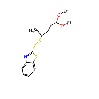 CCOC(CCC([SiH3])SSc1nc2ccccc2s1)OCC